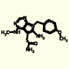 CNc1ncnc2c1c(SC(N)=O)c(N)n2Cc1ccc(OC)cc1